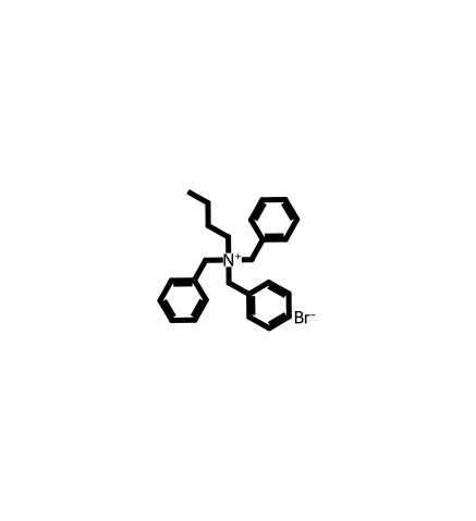 CCCC[N+](Cc1ccccc1)(Cc1ccccc1)Cc1ccccc1.[Br-]